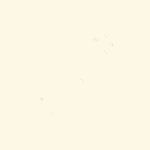 N=C(N)c1ccc(NC(=O)c2ccccc2-c2ccccc2-c2nnn[nH]2)cc1